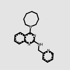 c1ccc(CNc2nc(N3CCCCCCC3)c3ccccc3n2)nc1